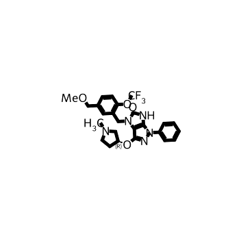 COCc1ccc(OC(F)(F)F)c(Cn2c(=O)[nH]c3c2c(O[C@@H]2CCN(C)C2)nn3-c2ccccc2)c1